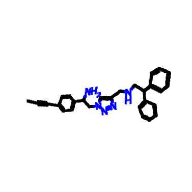 CC#Cc1ccc(C(N)Cn2cc(CNCC(c3ccccc3)c3ccccc3)nn2)cc1